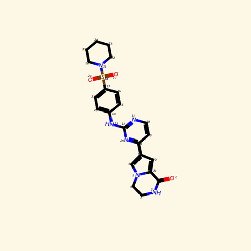 O=C1NCCn2cc(-c3ccnc(Nc4ccc(S(=O)(=O)N5CCCCC5)cc4)n3)cc21